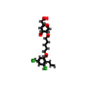 C=CCc1c(Cl)cc(Cl)cc1OCCCCCOc1coc(CO)cc1=O